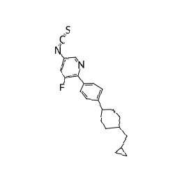 Fc1cc(N=C=S)cnc1-c1ccc(C2CCC(CC3CC3)CC2)cc1